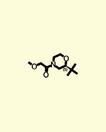 COCC(=O)N1CCO[C@@H](C(C)(C)C)C1